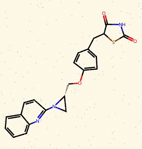 O=C1NC(=O)C(Cc2ccc(OC[C@@H]3CN3c3ccc4ccccc4n3)cc2)S1